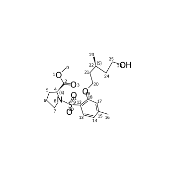 COC(=O)[C@@H]1CCCN1S(=O)(=O)c1ccc(C)cc1OCC[C@@H](C)CCO